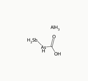 O=C(O)[AsH][SbH2].[AlH3]